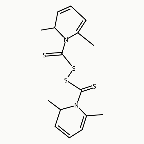 CC1=CC=CC(C)N1C(=S)SSC(=S)N1C(C)=CC=CC1C